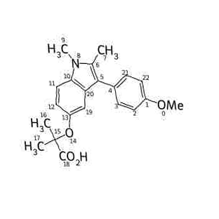 COc1ccc(-c2c(C)n(C)c3ccc(OC(C)(C)C(=O)O)cc23)cc1